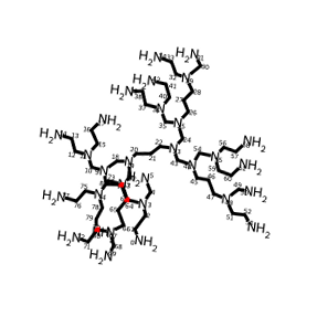 NCCN(CN)CCCN(CN(CCN)CCN)CN(CCCN(CN(CCCN(CN)CCN)CN(CCN)CCN)CN(CCCN(CN)CCN)CN(CCN)CCN)CN(CCCN(CN)CCN)CN(CCN)CCN